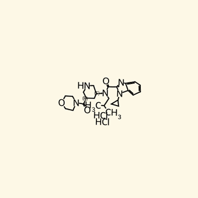 CC(C)CN(C(=O)c1nc2ccccc2n1C1CC1)[C@@H]1CNC[C@H](C(=O)N2CCOCC2)C1.Cl.Cl